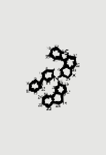 C1=C(N(c2cccc(-c3ccccc3)c2)c2ccc3ccc4ccccc4c3c2)CCc2ccc3sc4ccccc4c3c21